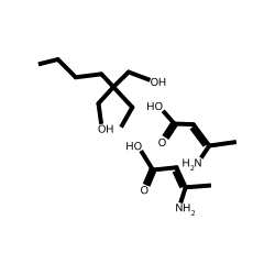 CC(N)=CC(=O)O.CC(N)=CC(=O)O.CCCCC(CC)(CO)CO